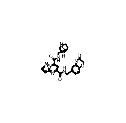 O=C1COc2ccc(CNC(=O)c3cc(C(=O)NC[C@H]4CN5CCC4CC5)n4nccc4n3)cc2N1